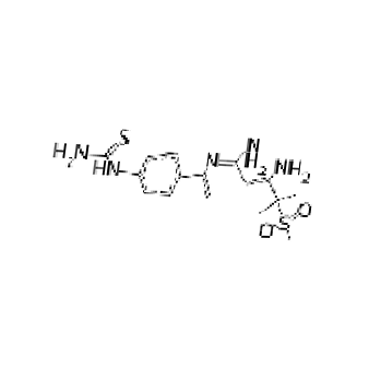 C=C(/N=C(N)\C=C(/N)C(C)(C)S(C)(=O)=O)c1ccc(NC(N)=S)cc1